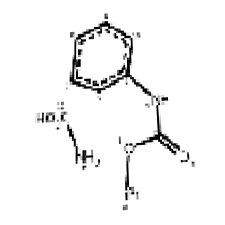 CC(C)OC(=O)Nc1ccccc1.NC(=O)O